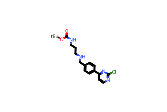 CC(C)(C)OC(=O)NCCCNCc1ccc(-c2ccnc(Cl)n2)cc1